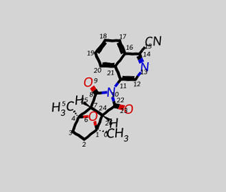 C[C@]12CC[C@](C)(O1)[C@@H]1C(=O)N(c3cnc(C#N)c4ccccc34)C(=O)[C@@H]12